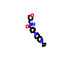 O=C(NCC1CCOCC1)c1ccc(N2CCC3(CC2)CCN(C2CCC2)CC3)cc1